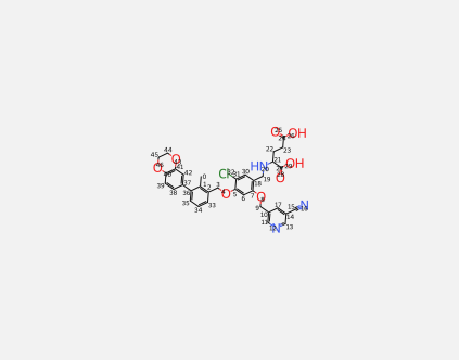 Cc1c(COc2cc(OCc3cncc(C#N)c3)c(CNC(CCC(=O)O)C(=O)O)cc2Cl)cccc1-c1ccc2c(c1)OCCO2